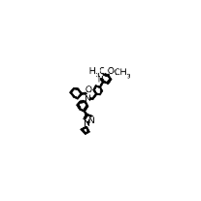 COc1ccc(C2CCC(CN(C(=O)C3CCCCC3)c3cccc(-c4cnn(C5CCC5)c4)c3)CC2)nc1C